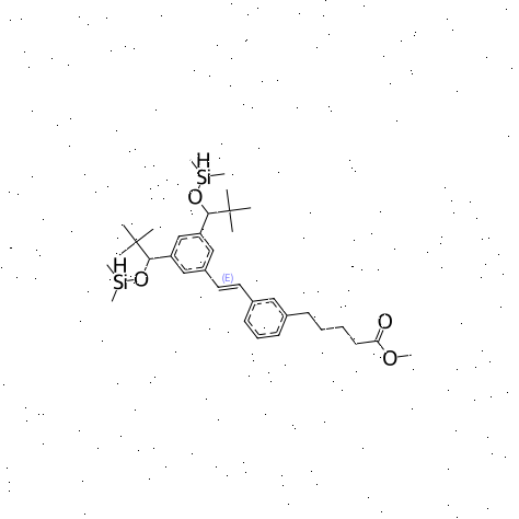 COC(=O)CCCCc1cccc(/C=C/c2cc(C(O[SiH](C)C)C(C)(C)C)cc(C(O[SiH](C)C)C(C)(C)C)c2)c1